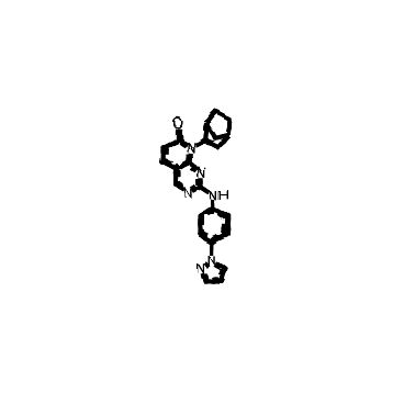 O=c1ccc2cnc(Nc3ccc(-n4cccn4)cc3)nc2n1C1CC2CCC1C2